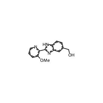 COc1cccnc1-c1nc2cc(CO)ccc2[nH]1